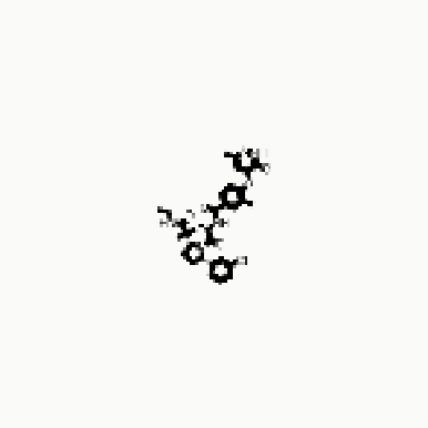 CCNC(=O)C(C)(C)[C@H]1CC[C@@H](c2cccc(Cl)c2)N1C(=O)[C@@H](C)NC(=O)c1ccc(Oc2cc(C)n[nH]c2=O)c(C)c1